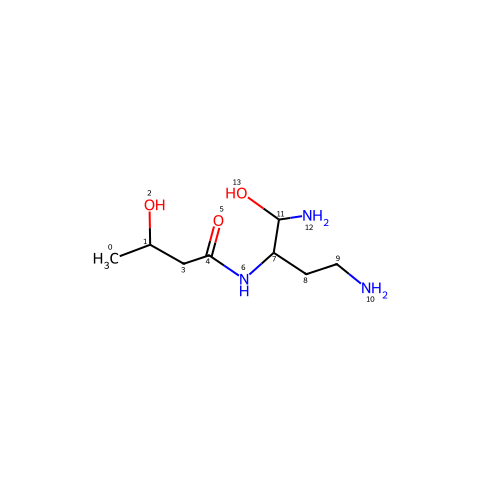 CC(O)CC(=O)NC(CCN)C(N)O